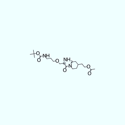 CC(=O)OCCC1CCN(C(=O)[C@@H](N)COCCCNC(=O)OC(C)(C)C)CC1